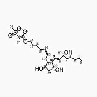 CCCCC[C@](C)(O)/C=C/[C@@H]1[C@@H](C/C=C\CCCCOC(=O)NS(C)(=O)=O)[C@@H](O)C[C@H]1O